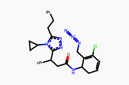 CCCC(CC(=O)NC1CC=CC(Cl)=C1CN=[N+]=[N-])c1nnc(CCC(C)C)n1C1CC1